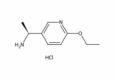 CCOc1ccc([C@H](C)N)cn1.Cl